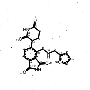 O=C1CCC(c2ccc3c(c2CNCc2ccco2)C(=O)NC3=O)C(=O)N1